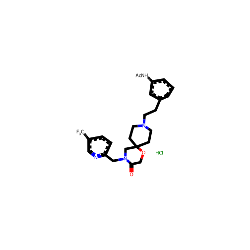 CC(=O)Nc1cccc(CCN2CCC3(CC2)CN(Cc2ccc(C(F)(F)F)cn2)C(=O)CO3)c1.Cl